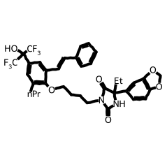 CCCc1cc(C(O)(C(F)(F)F)C(F)(F)F)cc(/C=C/c2ccccc2)c1OCCCCN1C(=O)NC(CC)(c2ccc3c(c2)OCO3)C1=O